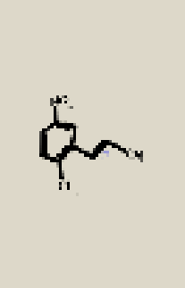 Cc1ccc([N+](=O)[O-])cc1/C=C/C#N